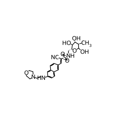 C[C@H]1C(O)O[C@H](CNS(=O)(=O)/C(C#N)=C/c2ccc3cc(NCCN4CCOCC4)ccc3c2)[C@@H](O)[C@@H]1O